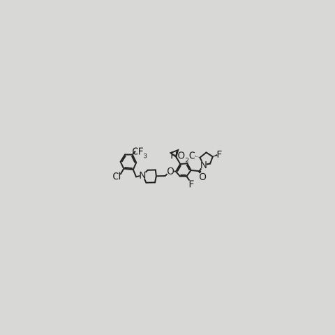 O=C(O)[C@@H]1C[C@@H](F)CN1C(=O)c1cc(C2CC2)c(OCC2CCN(Cc3cc(C(F)(F)F)ccc3Cl)CC2)cc1F